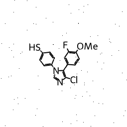 COc1ccc(-c2c(Cl)ncn2-c2ccc(S)cc2)cc1F